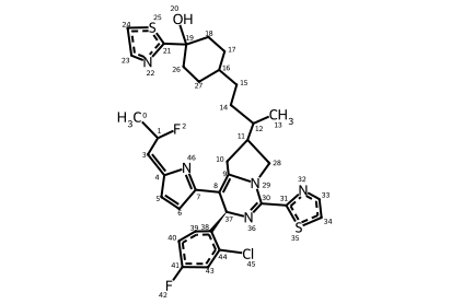 CC(F)/C=C1/C=CC(C2=C3CC(C(C)CCC4CCC(O)(c5nccs5)CC4)CN3C(c3nccs3)=N[C@H]2c2ccc(F)cc2Cl)=N1